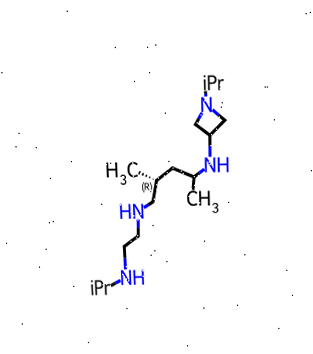 CC(C)NCCNC[C@H](C)CC(C)NC1CN(C(C)C)C1